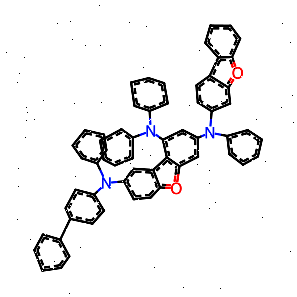 c1ccc(-c2ccc(N(c3ccccc3)c3ccc4oc5cc(N(c6ccccc6)c6ccc7c(c6)oc6ccccc67)cc(N(c6ccccc6)c6ccccc6)c5c4c3)cc2)cc1